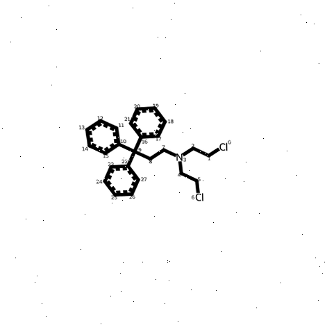 ClCCN(CCCl)CCC(c1ccccc1)(c1ccccc1)c1ccccc1